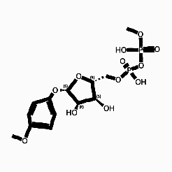 COc1ccc(O[C@@H]2O[C@H](COP(=O)(O)OP(=O)(O)OC)[C@@H](O)[C@H]2O)cc1